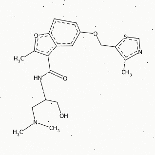 Cc1ncsc1COc1ccc2oc(C)c(C(=O)NC(CO)CN(C)C)c2c1